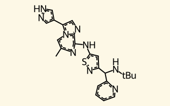 Cc1cn2c(-c3cn[nH]c3)cnc2c(Nc2cc(C(NC(C)(C)C)c3ccccn3)ns2)n1